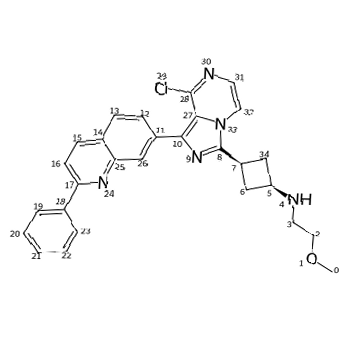 COCCN[C@H]1C[C@@H](c2nc(-c3ccc4ccc(-c5ccccc5)nc4c3)c3c(Cl)nccn32)C1